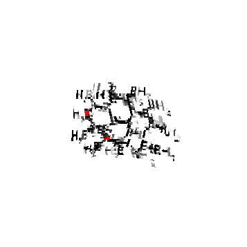 BB(B)B(B)B(B(B(B)B)B(B)B)C(B(B(B)B)B(B)B)B(B(B(B)B)B(B)B)B(B(B)B)B(B)B